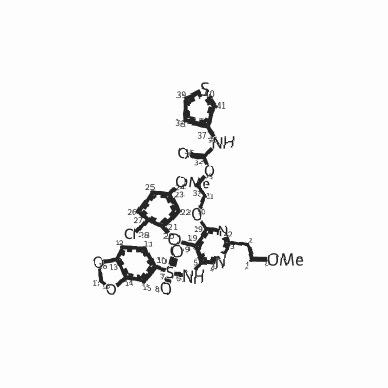 COCCc1nc(NS(=O)(=O)c2ccc3c(c2)OCO3)c(Oc2cc(OC)ccc2Cl)c(OCCOC(=O)Nc2ccsc2)n1